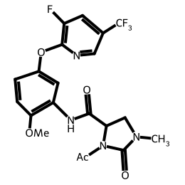 COc1ccc(Oc2ncc(C(F)(F)F)cc2F)cc1NC(=O)C1CN(C)C(=O)N1C(C)=O